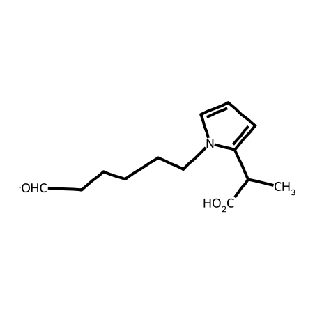 CC(C(=O)O)c1cccn1CCCCC[C]=O